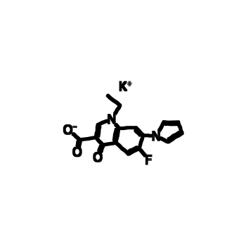 CCn1cc(C(=O)[O-])c(=O)c2cc(F)c(-n3cccc3)cc21.[K+]